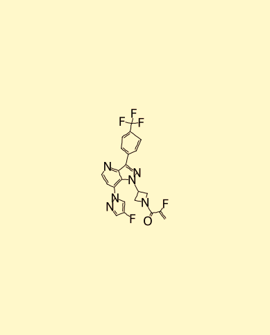 C=C(F)C(=O)N1CC(n2nc(-c3ccc(C(F)(F)F)cc3)c3nccc(-n4cc(F)cn4)c32)C1